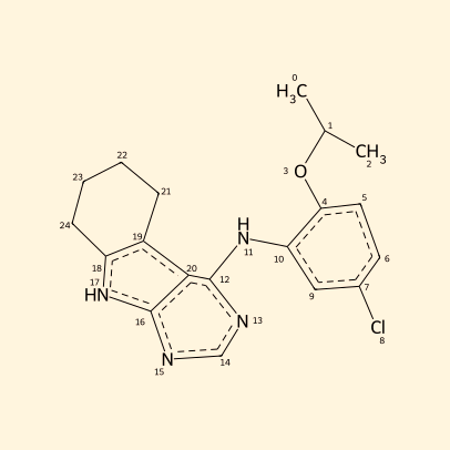 CC(C)Oc1ccc(Cl)cc1Nc1ncnc2[nH]c3c(c12)CCCC3